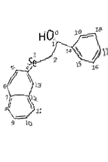 O[C@@H](C[Se]c1ccc2ccccc2c1)c1ccccc1